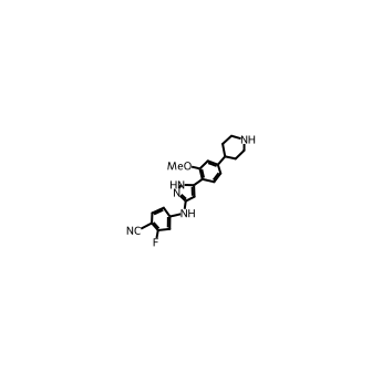 COc1cc(C2CCNCC2)ccc1-c1cc(Nc2ccc(C#N)c(F)c2)n[nH]1